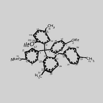 COc1ccc(C(c2ccc(OC)cc2)(c2cc(C)ccc2OC)c2cc(C)ccc2Oc2ccc(C)cc2)cc1